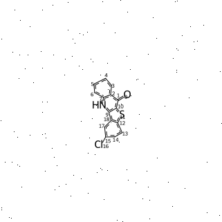 O=c1c2ccccc2[nH]c2c1sc1ccc(Cl)cc12